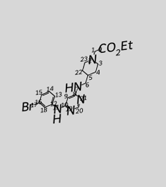 CCOC(=O)CN1CCC(CNc2cc(Nc3cccc(Br)c3)ncn2)CC1